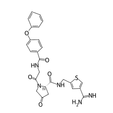 N=C(N)c1csc(CNC(=O)[C@@H]2CC(=O)CN2C(=O)CNC(=O)c2ccc(Oc3ccccc3)cc2)c1